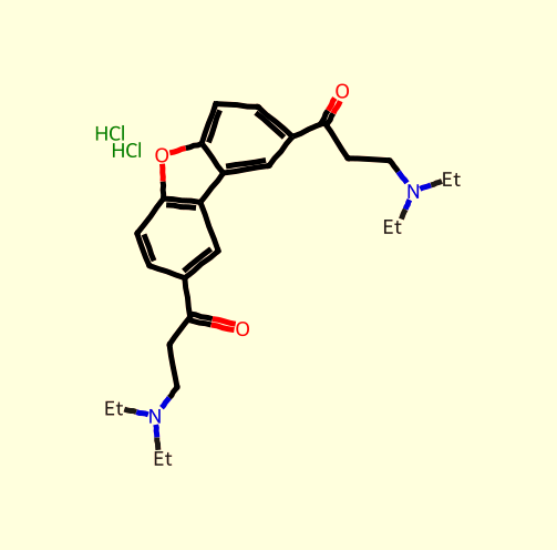 CCN(CC)CCC(=O)c1ccc2oc3ccc(C(=O)CCN(CC)CC)cc3c2c1.Cl.Cl